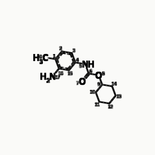 Cc1ccc(NC(=O)OC2CCCCC2)cc1N